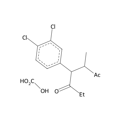 CCC(=O)C(c1ccc(Cl)c(Cl)c1)C(C)C(C)=O.O=C(O)O